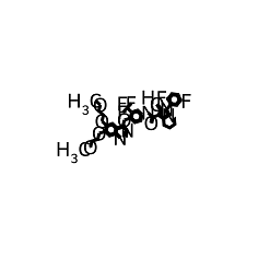 COCCOc1cc2ncnc(Oc3ccc(NC(=O)c4c5n(n(-c6cc(F)ccc6F)c4=O)CCCC5)cc3C(F)(F)F)c2cc1OCCOC